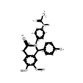 COc1cc2c(cc1OC(C)C)C(c1ccc(Cl)cc1)N(c1ccc(N(C)C(=O)C(F)(F)F)cc1)C(=O)C2